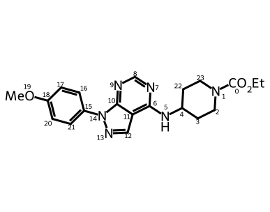 CCOC(=O)N1CCC(Nc2ncnc3c2cnn3-c2ccc(OC)cc2)CC1